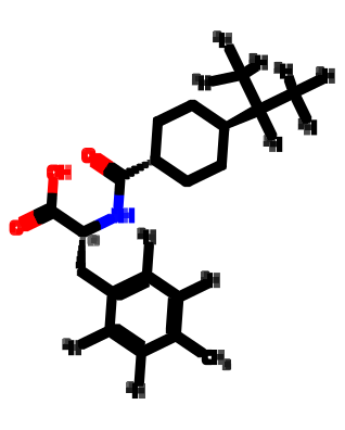 [2H]c1c([2H])c(C[C@@H](NC(=O)[C@H]2CC[C@H](C([2H])(C([2H])([2H])[2H])C([2H])([2H])[2H])CC2)C(=O)O)c([2H])c([2H])c1C